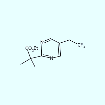 CCOC(=O)C(C)(C)c1ncc(CC(F)(F)F)cn1